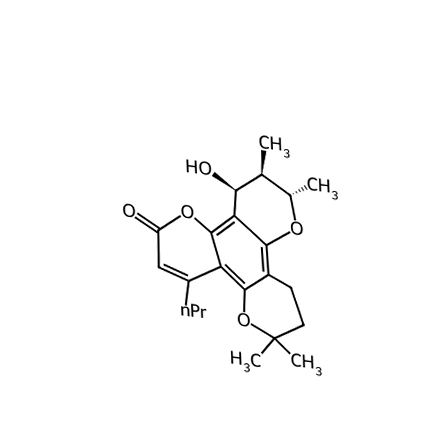 CCCc1cc(=O)oc2c3c(c4c(c12)OC(C)(C)CC4)O[C@@H](C)[C@H](C)[C@@H]3O